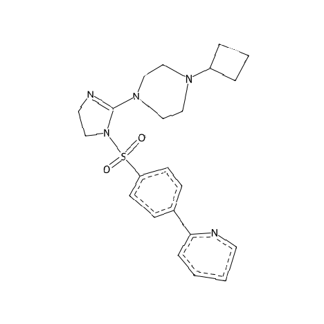 O=S(=O)(c1ccc(-c2ccccn2)cc1)N1CCN=C1N1CCN(C2CCC2)CC1